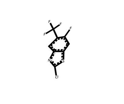 Fc1cc2sc(Cl)nc2cc1C(F)(F)F